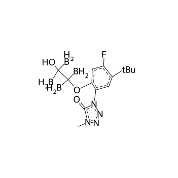 BC(B)(O)C(B)(B)Oc1cc(F)c(C(C)(C)C)cc1-n1nnn(C)c1=O